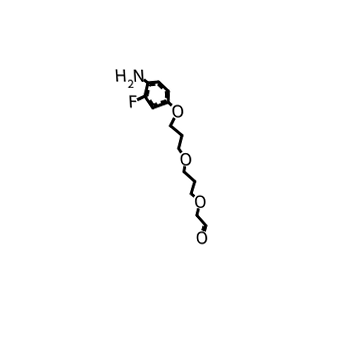 Nc1ccc(OCCCOCCCOCC=O)cc1F